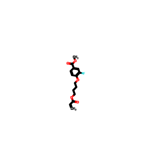 C=CC(=O)OCCCCOc1ccc(C(=O)OC)cc1F